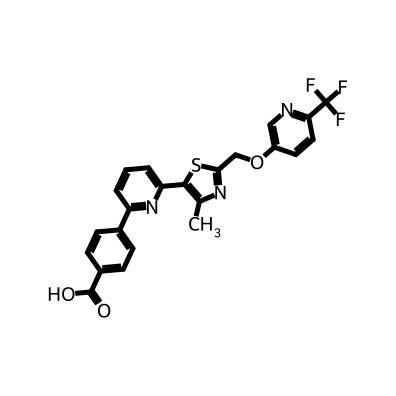 Cc1nc(COc2ccc(C(F)(F)F)nc2)sc1-c1cccc(-c2ccc(C(=O)O)cc2)n1